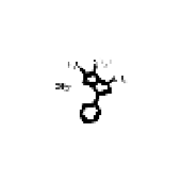 CC1=C2C(=CC(C)=C2S(=O)(=O)O)C(c2ccccc2)=C1.[Cl-].[Cl-].[Zr+2]